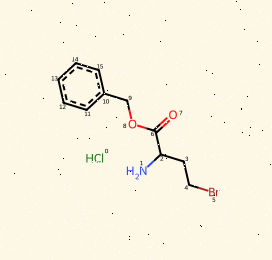 Cl.NC(CCBr)C(=O)OCc1ccccc1